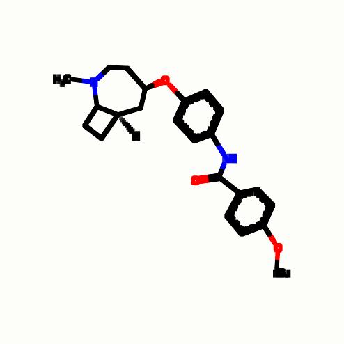 CCCCOc1ccc(C(=O)Nc2ccc(O[C@@H]3CCN(C)C4CC[C@@H]4C3)cc2)cc1